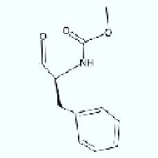 COC(=O)N[C@H]([C]=O)Cc1ccccc1